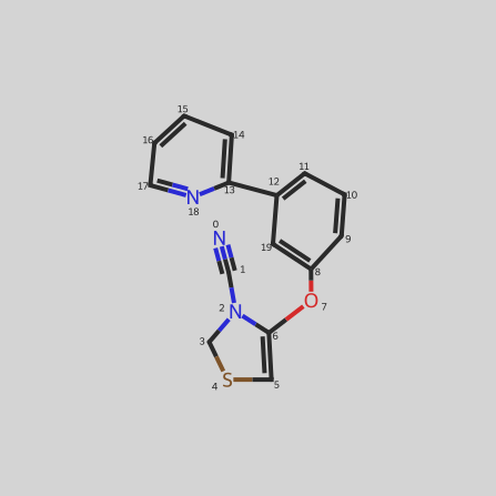 N#CN1CSC=C1Oc1cccc(-c2ccccn2)c1